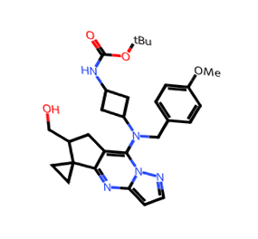 COc1ccc(CN(c2c3c(nc4ccnn24)C2(CC2)C(CO)C3)C2CC(NC(=O)OC(C)(C)C)C2)cc1